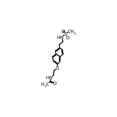 CC(=O)NCCOc1ccc2cc(CCNS(C)(=O)=O)ccc2c1